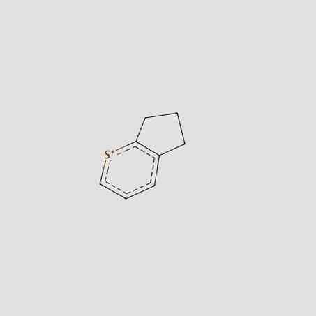 c1c[s+]c2c(c1)CCC2